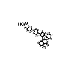 O=C(O)CC1CCC(N2CCC(c3ccc4c(c3)-n3c(nc(=O)c5c(Cl)cccc53)C43CCCCC3)CC2)CC1